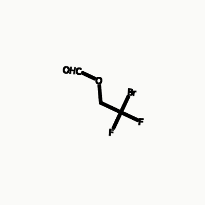 O=COCC(F)(F)Br